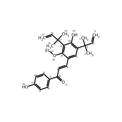 C=CC(C)(C)c1cc(/C=C/C(=O)c2ccc(O)cc2)c(OCC)c(C(C)(C)C=C)c1O